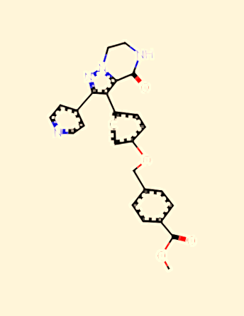 COC(=O)c1ccc(COc2ccc(-c3c(-c4ccncc4)nn4c3C(=O)NCC4)cc2)cc1